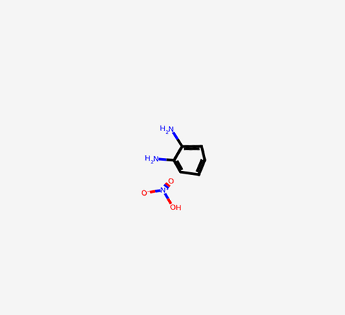 Nc1ccccc1N.O=[N+]([O-])O